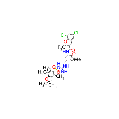 COC(=O)[C@H](CCCNC(=N)NS(=O)(=O)c1c(C)c(C)c2c(c1C)CC(C)(C)O2)NC(=O)C1=Cc2cc(Cl)cc(Cl)c2OC1C(F)(F)F